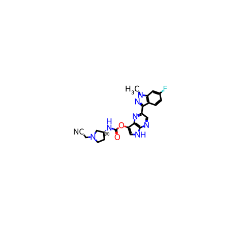 Cn1nc(-c2cnc3[nH]cc(OC(=O)N[C@@H]4CCN(CC#N)C4)c3n2)c2ccc(F)cc21